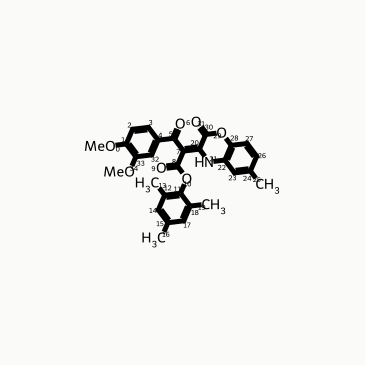 COc1ccc(C(=O)C(C(=O)Oc2c(C)cc(C)cc2C)=C2Nc3cc(C)ccc3OC2=O)cc1OC